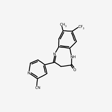 Cc1cc2c(cc1C(F)(F)F)NC(=O)CC(c1ccnc(C#N)c1)=N2